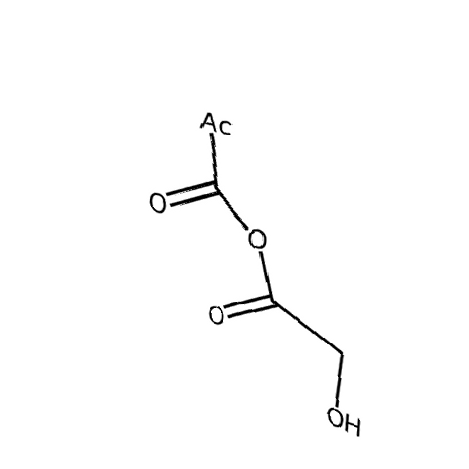 CC(=O)C(=O)OC(=O)CO